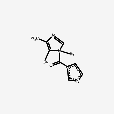 CC1=C(C(C)C)[N+](C(=O)n2ccnc2)(C(C)C)C=N1